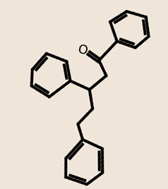 O=C(CC(CCc1ccccc1)c1ccccc1)c1ccccc1